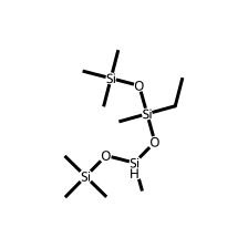 CC[Si](C)(O[SiH](C)O[Si](C)(C)C)O[Si](C)(C)C